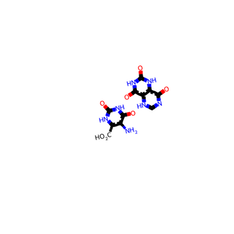 Nc1c(C(=O)O)[nH]c(=O)[nH]c1=O.O=c1[nH]c(=O)c2[nH]cnc(=O)c2[nH]1